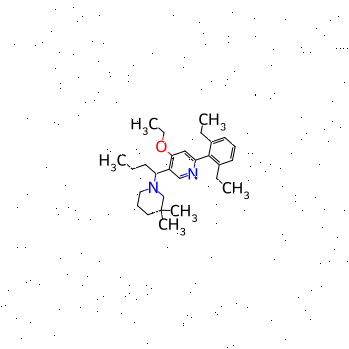 CCCC(c1cnc(-c2c(CC)cccc2CC)cc1OCC)N1CCCC(C)(C)C1